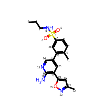 CCCNS(=O)(=O)c1ccc(C)c(-c2cnc(N)c(-c3cc(C)no3)c2)c1